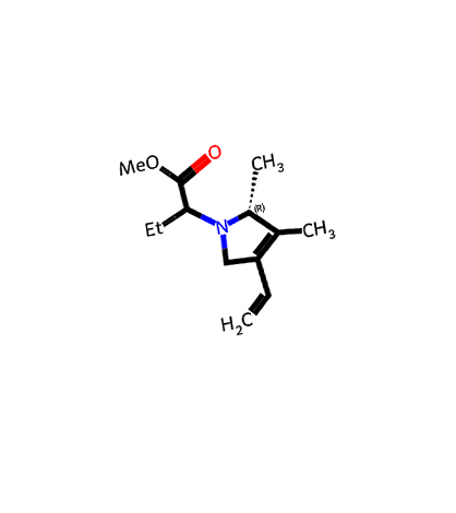 C=CC1=C(C)[C@@H](C)N(C(CC)C(=O)OC)C1